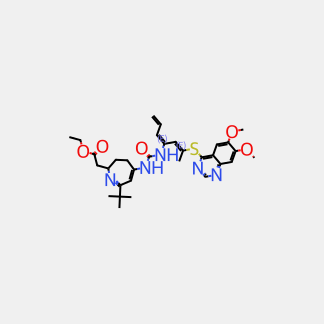 C=C/C=C(\C=C(/C)Sc1ncnc2cc(OC)c(OC)cc12)NC(=O)NC1=CC(C(C)(C)C)=NC(CC(=O)OCC)CC1